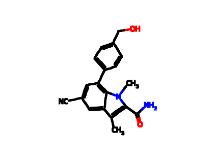 Cc1c(C(N)=O)n(C)c2c(-c3ccc(CO)cc3)cc(C#N)cc12